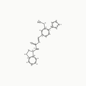 O=C(C=Cc1ccc(-n2ccnc2)c(CO)c1)NC1CCc2ccccc21